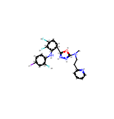 CN(CCc1ccccn1)c1nnc(-c2ccc(F)c(F)c2Nc2ccc(I)cc2F)o1